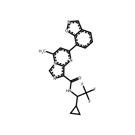 Cc1cc(-c2cccc3cnoc23)nc2c(C(=O)NC(C3CC3)C(F)(F)F)ncn12